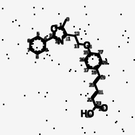 Cc1oc(-c2ccccc2)nc1CCOc1ccc(C=CC=CC(=O)O)cc1